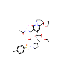 CCOC(=O)[C@@](CC)(OC(=O)[C@H]1CCCN1S(=O)(=O)c1ccc(C)cc1)c1cc2n(c(=O)c1CNC(C)=O)CCC21OCCO1